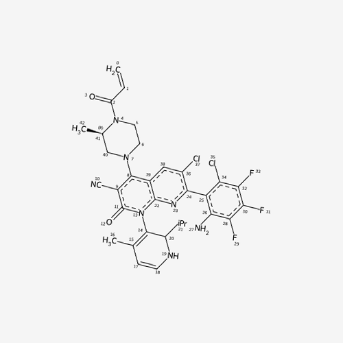 C=CC(=O)N1CCN(c2c(C#N)c(=O)n(C3=C(C)C=CNC3C(C)C)c3nc(-c4c(N)c(F)c(F)c(F)c4Cl)c(Cl)cc23)C[C@H]1C